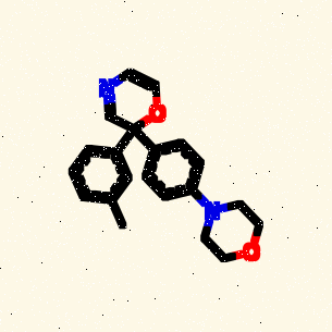 Cc1cccc(C2(c3ccc(N4CCOCC4)cc3)C=NC=CO2)c1